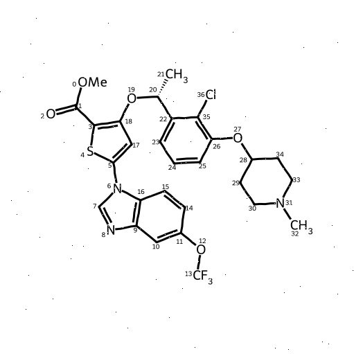 COC(=O)c1sc(-n2cnc3cc(OC(F)(F)F)ccc32)cc1O[C@H](C)c1cccc(OC2CCN(C)CC2)c1Cl